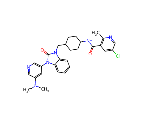 Cc1ncc(Cl)cc1C(=O)NC1CCC(Cn2c(=O)n(-c3cncc(N(C)C)c3)c3ccccc32)CC1